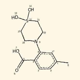 Cc1ccc(C(=O)O)c(N2CCS(O)(O)CC2)c1